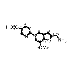 COc1cc(-c2ccc(C(=O)O)cn2)cc2cc(CN)oc12